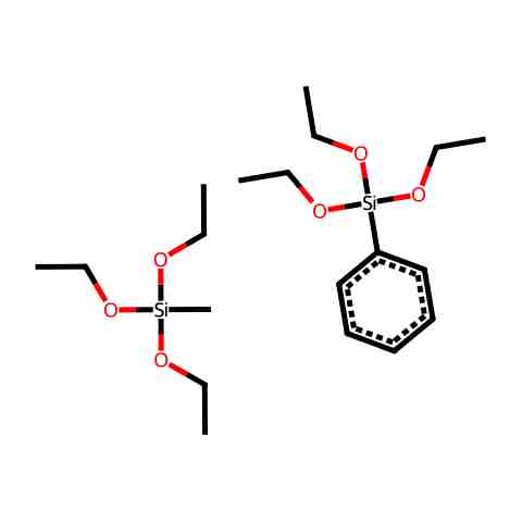 CCO[Si](C)(OCC)OCC.CCO[Si](OCC)(OCC)c1ccccc1